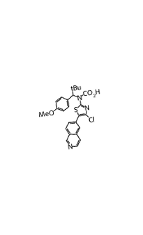 COc1ccc(C(N(C(=O)O)c2nc(Cl)c(-c3ccc4cnccc4c3)s2)C(C)(C)C)cc1